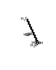 CCCCCCCCCCCCCCCCCC[N+](O)(O)CC.Cl.N.[Cl-]